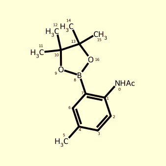 CC(=O)Nc1ccc(C)cc1B1OC(C)(C)C(C)(C)O1